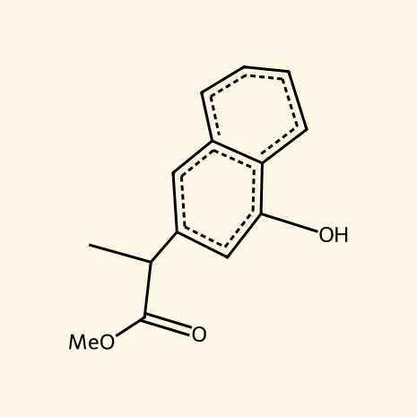 COC(=O)C(C)c1cc(O)c2ccccc2c1